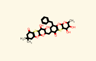 CC1OC2OC3=C(SC2C(O)C1O)C(=O)C(CC1OC2OC4=C(SC2C(O)C1O)C(=O)CC(C)(C)C4)CC3Cc1ccccc1